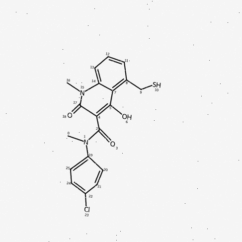 CN(C(=O)c1c(O)c2c(CS)cccc2n(C)c1=O)c1ccc(Cl)cc1